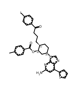 Cc1ccc(C(=O)O[C@@H]2C[C@H](n3cnc4c(-c5cccs5)cc(N)nc43)CC[C@@H]2CCCC(=O)c2ccc(I)cc2)cc1